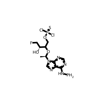 C[C@@H](OC(COP(=S)(Cl)Cl)[C@H](O)CF)n1cnc2c(NP)ncnc21